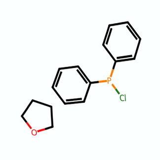 C1CCOC1.ClP(c1ccccc1)c1ccccc1